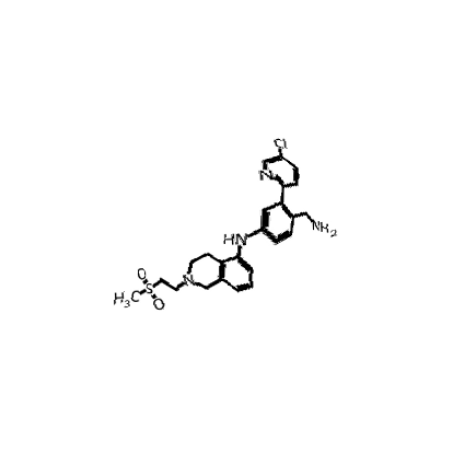 CS(=O)(=O)CCN1CCc2c(cccc2Nc2ccc(CN)c(-c3ccc(Cl)cn3)c2)C1